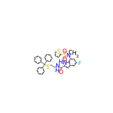 CN(c1cc(F)cc2cc(C(=O)NCCSC(c3ccccc3)(c3ccccc3)c3ccccc3)[nH]c12)S(=O)(=O)c1cccs1